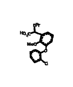 CCCC(C(=O)O)c1cccc(Oc2ccccc2Cl)c1OC